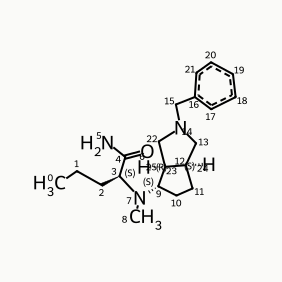 CCC[C@@H](C(N)=O)N(C)[C@H]1CC[C@@H]2CN(Cc3ccccc3)C[C@@H]21